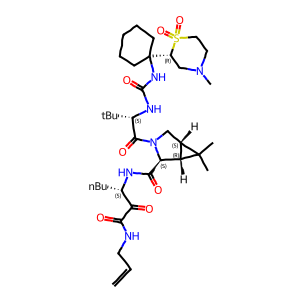 C=CCNC(=O)C(=O)[C@H](CCCC)NC(=O)[C@@H]1[C@@H]2[C@H](CN1C(=O)[C@@H](NC(=O)NC1([C@H]3CN(C)CCS3(=O)=O)CCCCC1)C(C)(C)C)C2(C)C